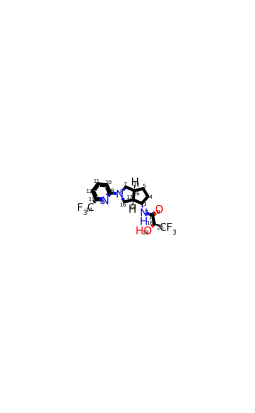 O=C(N[C@H]1CC[C@@H]2CN(c3cccc(C(F)(F)F)n3)C[C@@H]21)[C@H](O)C(F)(F)F